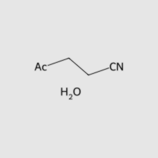 CC(=O)CCC#N.O